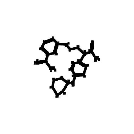 N=C(N)c1cccc(OCCN(C(=O)C(F)(F)F)c2ccc(OC3CCCCC3)cc2)c1